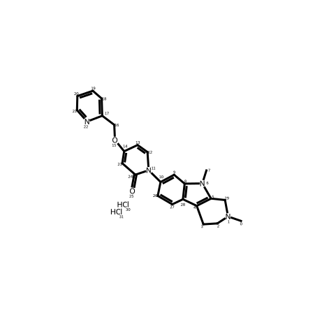 CN1CCc2c(n(C)c3cc(-n4ccc(OCc5ccccn5)cc4=O)ccc23)C1.Cl.Cl